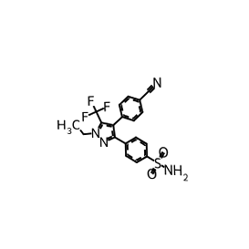 CCn1nc(-c2ccc(S(N)(=O)=O)cc2)c(-c2ccc(C#N)cc2)c1C(F)(F)F